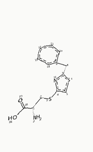 N[C@@H](CSc1csc(Cc2ccccc2)n1)C(=O)O